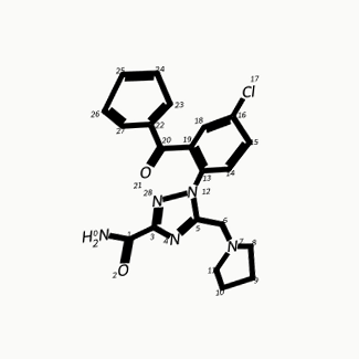 NC(=O)c1nc(CN2CCCC2)n(-c2ccc(Cl)cc2C(=O)c2ccccc2)n1